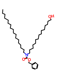 CCCCCCCCCCCCCCCCCCN(CCCCCCCCCCCCCCCO)C(=O)OCc1ccccc1